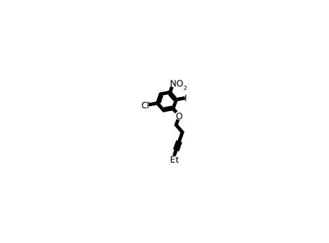 CCC#CCCOc1cc(Cl)cc([N+](=O)[O-])c1I